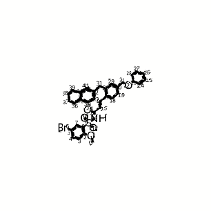 COc1ccc(Br)cc1S(=O)(=O)NC(=O)C=Cc1ccc(COc2ccccc2)cc1Cc1ccc2ccccc2c1